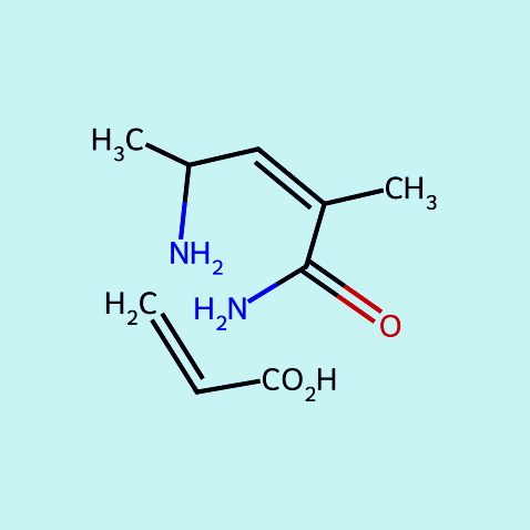 C=CC(=O)O.CC(=CC(C)N)C(N)=O